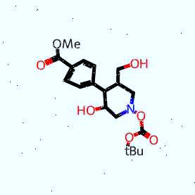 COC(=O)c1ccc(C2C(O)CN(OC(=O)OC(C)(C)C)CC2CO)cc1